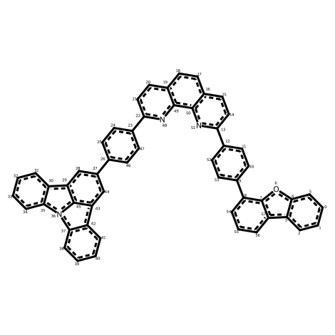 c1ccc2c(c1)oc1c(-c3ccc(-c4ccc5ccc6ccc(-c7ccc(-c8cc9c%10ccccc%10n%10c%11ccccc%11c(c8)c9%10)cc7)nc6c5n4)cc3)cccc12